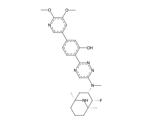 COc1cc(-c2ccc(-c3ncc(N(C)[C@H]4C[C@]5(C)CCC[C@@](C)(N5)[C@H]4F)nn3)c(O)c2)cnc1OC